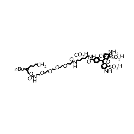 C=CCCC1C(CCCC)C1COC(=O)NCCOCCOCCOCCOCCC(=O)NCCCCC(NC(=O)c1ccc(-c2c3ccc(=N)c(S(=O)(=O)O)c-3oc3c(S(=O)(=O)O)c(N)ccc23)c(C(=O)O)c1)C(=O)O